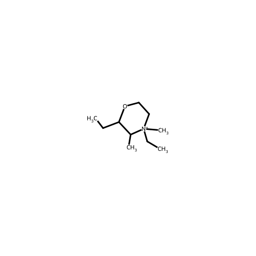 CCC1OCC[N+](C)(CC)C1C